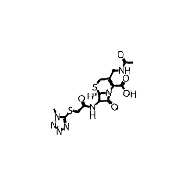 CC(=O)NCC1=C(C(=O)O)N2C(=O)C(NC(=O)CSc3nnnn3C)[C@H]2SC1